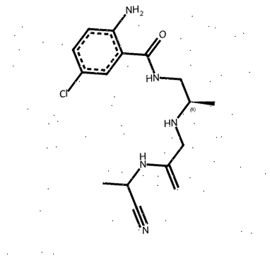 C=C(CN[C@H](C)CNC(=O)c1cc(Cl)ccc1N)NC(C)C#N